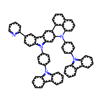 c1ccc(-c2ccc3c(c2)c2cc4c(cc2n3-c2ccc(-n3c5ccccc5c5ccccc53)cc2)N(c2ccc(-n3c5ccccc5c5ccccc53)cc2)c2cccc3cccc-4c23)nc1